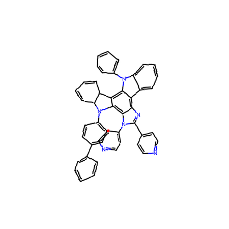 C1=CC2c3c(c4c(nc(-c5ccncc5)n4-c4ccncc4)c4c5ccccc5n(-c5ccccc5)c34)N(c3ccc(-c4ccccc4)cc3)C2C=C1